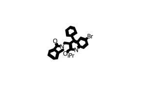 CC(C)Cc1nc2ccc(Br)cc2c(-c2ccccc2)c1CN1C(=O)c2ccccc2C1=O